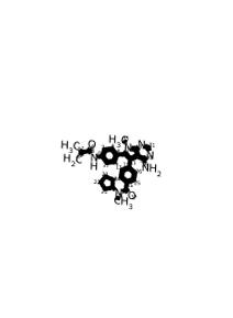 C=C(C)C(=O)Nc1ccc(-c2c(-c3ccc(C(=O)N(C)C4CCCC4)cc3)c3c(N)ncnc3n2C)cc1